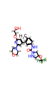 Cc1ccc(NC(=O)N2CC(OC(F)(F)F)CN2)cc1-c1cc(OCCO)nc(N2CCOCC2)c1